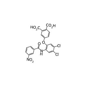 O=C(Nc1cc(Cl)c(Cl)cc1Oc1ccc(C(=O)O)c(C(=O)O)c1)c1cccc([N+](=O)[O-])c1